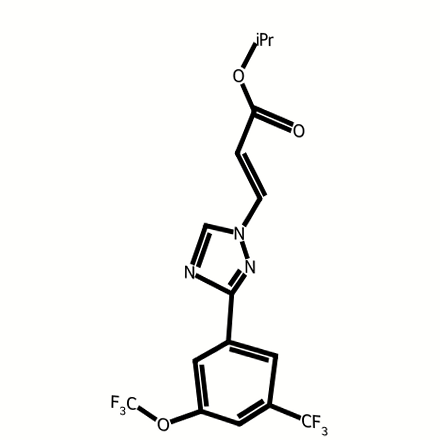 CC(C)OC(=O)/C=C/n1cnc(-c2cc(OC(F)(F)F)cc(C(F)(F)F)c2)n1